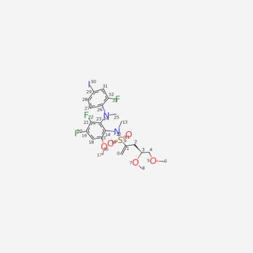 C=C(C[C@@H](COC)OC)S(=O)(=O)N(C)c1c(OC)cc(F)c(F)c1N(C)c1ccc(I)cc1F